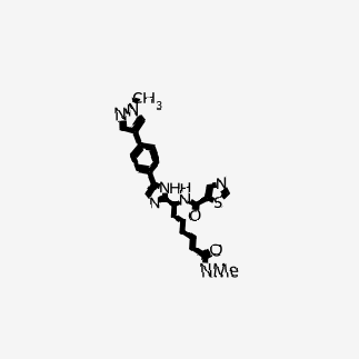 CNC(=O)CCCCCC(NC(=O)c1cncs1)c1ncc(-c2ccc(-c3cnn(C)c3)cc2)[nH]1